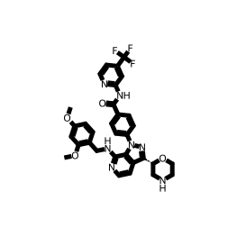 COc1ccc(CNc2nccc3c([C@H]4CNCCO4)nn(-c4ccc(C(=O)Nc5cc(C(F)(F)F)ccn5)cc4)c23)c(OC)c1